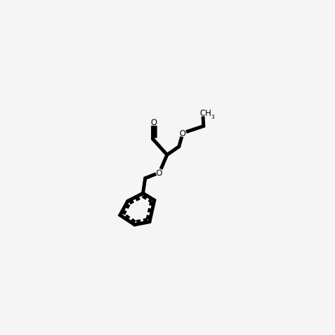 CCOCC(C=O)OCc1ccccc1